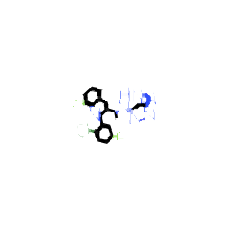 CC(Nc1ncnc2nc[nH]c12)c1cc2cccc(F)c2nc1-c1cc(F)ccc1Cl